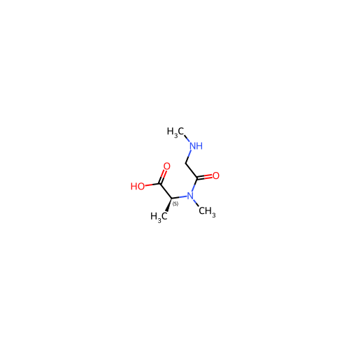 CNCC(=O)N(C)[C@@H](C)C(=O)O